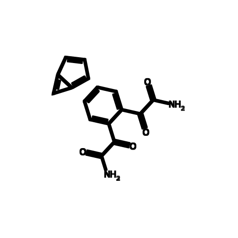 NC(=O)C(=O)c1ccccc1C(=O)C(N)=O.c1cc2cc-2c1